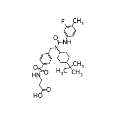 Cc1ccc(NC(=O)N(Cc2ccc(S(=O)(=O)NCCC(=O)O)cc2)C2CCC(C(C)(C)C)CC2)cc1F